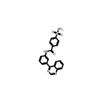 NS(=O)(=O)c1ccc(C(=O)Nc2cccc(-c3ncnc4ccccc34)c2)cc1